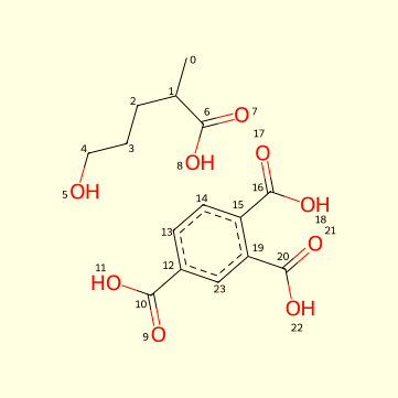 CC(CCCO)C(=O)O.O=C(O)c1ccc(C(=O)O)c(C(=O)O)c1